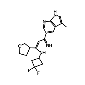 Cc1c[nH]c2ncc(C(=N)/C=C(\NC3CC(F)(F)C3)C3CCOC3)cc12